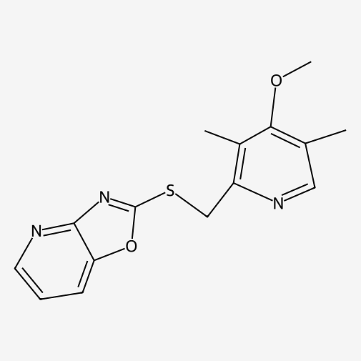 COc1c(C)cnc(CSc2nc3ncccc3o2)c1C